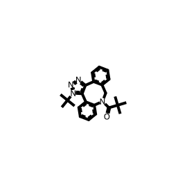 CC(C)(C)C(=O)N1Cc2ccccc2-c2nnn(C(C)(C)C)c2-c2ccccc21